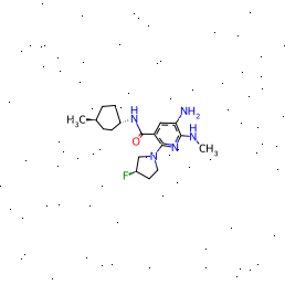 CNc1nc(N2CC[C@@H](F)C2)c(C(=O)N[C@H]2CC[C@H](C)CC2)cc1N